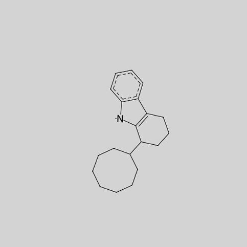 c1ccc2c(c1)[N]C1=C2CCCC1C1CCCCCCC1